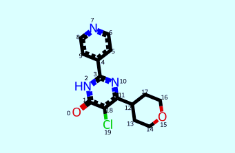 O=c1[nH]c(-c2ccncc2)nc(C2CCOCC2)c1Cl